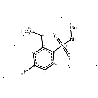 CC(C)(C)NS(=O)(=O)c1ccc(F)cc1CC(=O)O